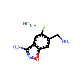 Cl.Cl.NCc1cc2onc(N)c2cc1F